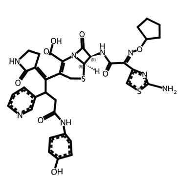 Nc1nc(C(=NOC2CCCC2)C(=O)N[C@@H]2C(=O)N3C(C(=O)O)=C(C(=C4CCNC4=O)C(CC(=O)Nc4ccc(O)cc4)c4cccnc4)CS[C@H]23)cs1